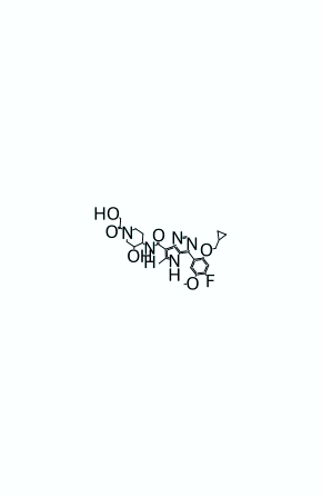 COc1cc(-c2ncnc3c(C(=O)NC4CCN(C(=O)CO)CC4O)c(C)[nH]c23)c(OCC2CC2)cc1F